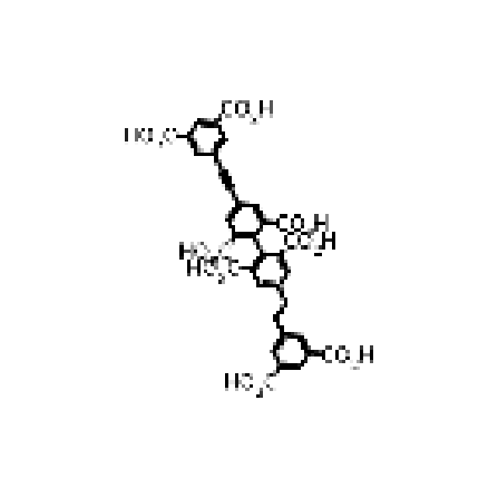 O=C(O)c1cc(C#Cc2cc(C(=O)O)c(-c3c(C(=O)O)cc(CCc4cc(C(=O)O)cc(C(=O)O)c4)cc3C(=O)O)c(C(=O)O)c2)cc(C(=O)O)c1